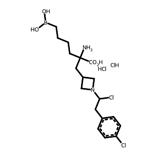 Cl.Cl.NC(CCCCB(O)O)(CC1CN(C(Cl)Cc2ccc(Cl)cc2)C1)C(=O)O